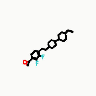 CCC1CCC(C2CCC(CCc3ccc(C4CO4)c(F)c3F)CC2)CC1